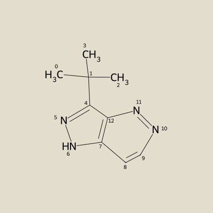 CC(C)(C)c1n[nH]c2ccnnc12